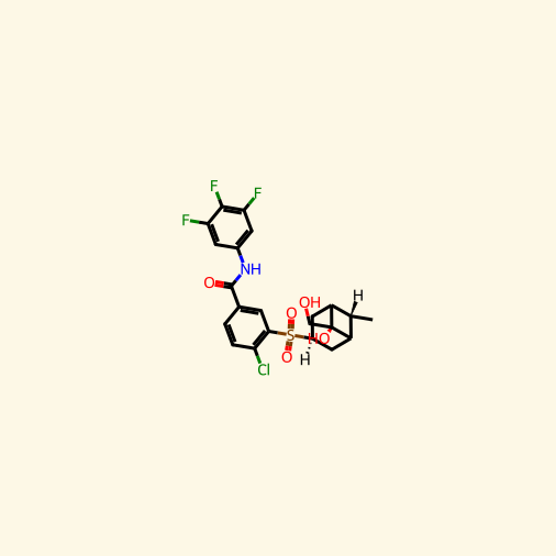 C[C@H]1C2C[C@H](S(=O)(=O)c3cc(C(=O)Nc4cc(F)c(F)c(F)c4)ccc3Cl)CC1[C@]2(O)CO